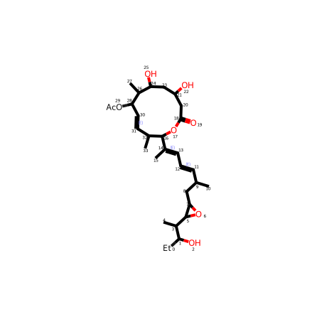 CCC(O)C(C)C1OC1CC(C)/C=C/C=C(\C)C1OC(=O)CC(O)CC(O)C(C)C(OC(C)=O)/C=C/C1C